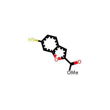 COC(=O)c1cc2ccc(S)cc2o1